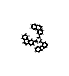 C1=Cc2c(oc3cccc(-c4nc(-c5ccc6ccc7ccccc7c6c5)nc(-c5ccc6ccc7ccccc7c6c5)n4)c23)CC1